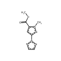 COC(=O)c1cc(-n2nccn2)nn1C